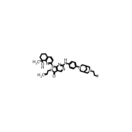 C=CCn1c(=O)c2cnc(Nc3ccc(N4CC5CC(CN(CCF)C5)C4)cc3)nc2n1-c1ccc2c(n1)[C@](C)(O)CCC2